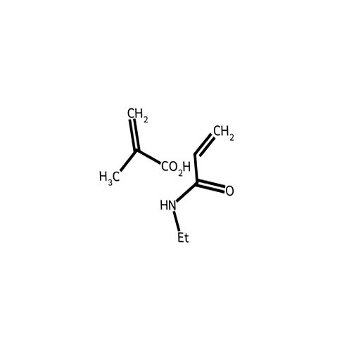 C=C(C)C(=O)O.C=CC(=O)NCC